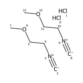 Cl.Cl.[C-]#[N+]CCOC.[C-]#[N+]CCOC